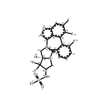 CCS(=O)(=O)N[C@@H]1CN2C(=O)N(c3noc4cc(C)c(F)c(-c5c(F)cccc5F)c34)C[C@@H]2C1(F)F